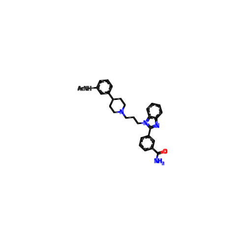 CC(=O)Nc1cccc(C2CCN(CCCn3c(-c4cccc(C(N)=O)c4)nc4ccccc43)CC2)c1